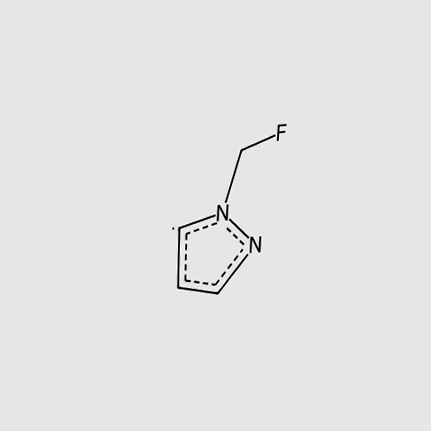 FCn1[c]ccn1